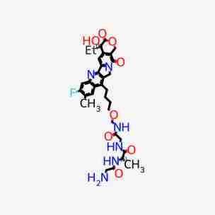 CC[C@@]1(O)C(=O)OCc2c1cc1n(c2=O)Cc2c-1nc1cc(F)c(C)cc1c2CCCCOCNC(=O)CNC(=O)[C@H](C)NC(=O)CN